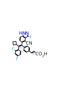 N#Cc1c(/C(=C(/c2ccc(F)cc2F)C2CCC2)c2ccc(/C=C/C(=O)O)cc2)ccc2[nH]nc(F)c12